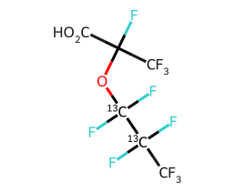 O=C(O)C(F)(O[13C](F)(F)[13C](F)(F)[13C](F)(F)F)C(F)(F)F